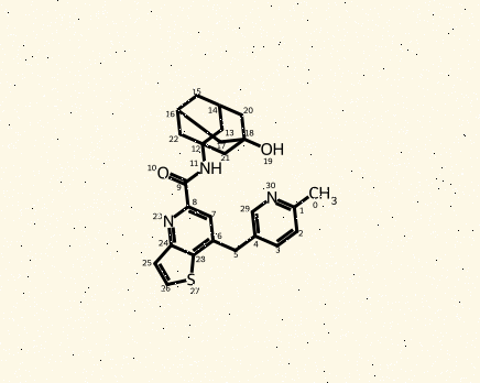 Cc1ccc(Cc2cc(C(=O)NC34CC5CC(CC(O)(C5)C3)C4)nc3ccsc23)cn1